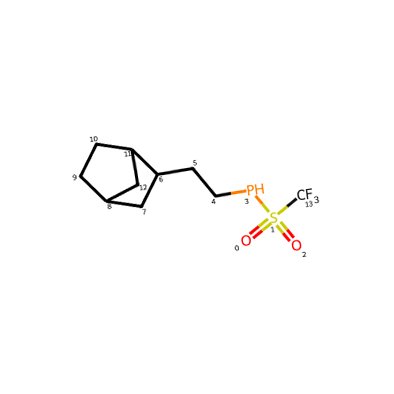 O=S(=O)(PCCC1CC2CCC1C2)C(F)(F)F